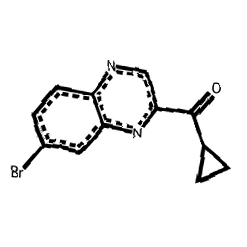 O=C(c1cnc2ccc(Br)cc2n1)C1CC1